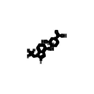 O=C(O)N1CC[C@H](Nc2cccc3c2cc(I)n3CC(F)(F)F)[C@@H](O)C1